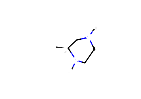 CC(C)N1CCN(C(C)(C)C)[C@@H](C(=O)O)C1